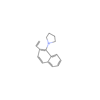 C=Cc1ccc2ccccc2c1N1CCCC1